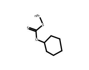 CCCSC(=S)OC1CCCCC1